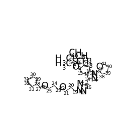 CC(C)(C)[Si](C)(C)Oc1ccc2c(c1)c(-c1cnn(CCCOCCCOCc3ccccc3)n1)nn2C1CCCCO1